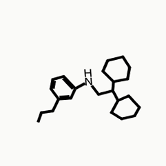 CCCc1cccc(NCC(C2CCCCC2)C2CCCCC2)c1